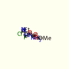 CCn1ncc(Cl)c1-c1cc(F)cc(C(=O)NC[C@@H](N)C(=O)OCCOC)c1